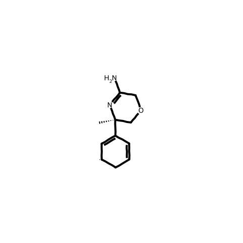 C[C@@]1(C2=C[CH]CC=C2)COCC(N)=N1